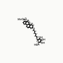 COC(=O)[C@H]1CCC2C3CC=C4C[C@@H](OCCCCCCS[C@@H]5O[C@H](CO)[C@@H](O)[C@H](O)[C@@H]5O)CC[C@]4(C)C3CC[C@@]21C